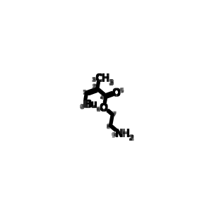 CCC(C)C=C(C)C(=O)OCCN